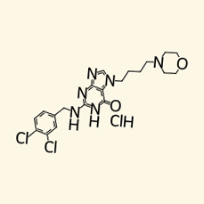 Cl.O=c1[nH]c(NCc2ccc(Cl)c(Cl)c2)nc2ncn(CCCCN3CCOCC3)c12